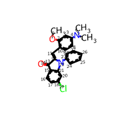 COc1cc(N(C)C)ccc1/C=C1/C(=O)c2ccc(Cl)cc2N1c1ccccc1